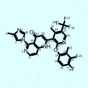 Cc1cn(-c2nccc3[nH]c(-c4c(Oc5ccc(F)c(F)c5C)ncc(C(F)(F)F)c4C)cc(=O)c23)cn1